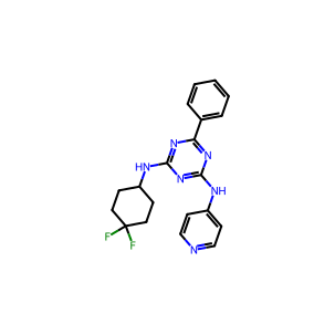 FC1(F)CCC(Nc2nc(Nc3ccncc3)nc(-c3ccccc3)n2)CC1